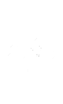 Fc1cc(C2=c3ccccc3=CCC2)cc(-c2nc(-c3ccccc3)nc(-c3ccccc3)n2)c1